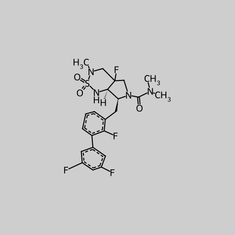 CN(C)C(=O)N1CC2(F)CN(C)S(=O)(=O)N[C@@H]2[C@@H]1Cc1cccc(-c2cc(F)cc(F)c2)c1F